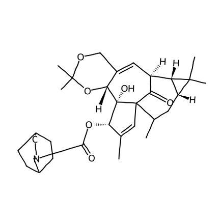 CC1=CC23C(=O)[C@@H](C=C4COC(C)(C)O[C@H]4[C@]2(O)[C@H]1OC(=O)N1CC2CCC(CC2)C1)[C@H]1[C@@H](CC3C)C1(C)C